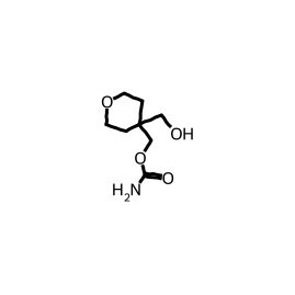 NC(=O)OCC1(CO)CCOCC1